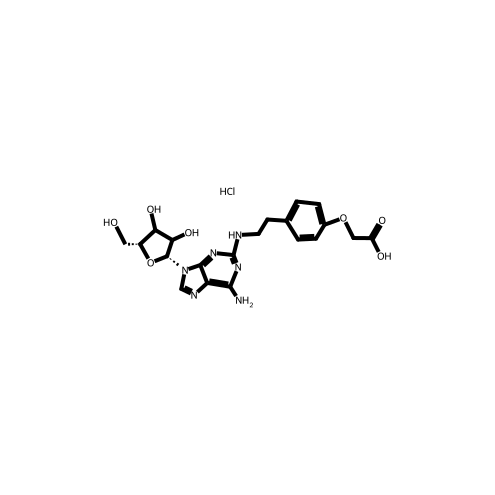 Cl.Nc1nc(NCCc2ccc(OCC(=O)O)cc2)nc2c1ncn2[C@@H]1O[C@H](CO)C(O)C1O